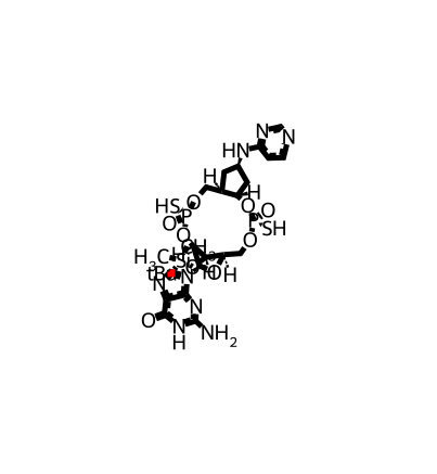 CC(C)(C)[Si](C)(C)O[C@H]1[C@H]2O[P@@](=O)(S)OC[C@H]3C[C@@H](Nc4ccncn4)C[C@@H]3O[P@@](=O)(S)OC[C@H]1O[C@H]2n1cnc2c(=O)[nH]c(N)nc21